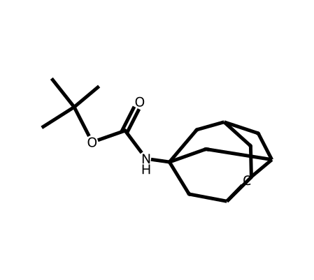 CC(C)(C)OC(=O)NC12CC3CCC(CC(C3)C1)C2